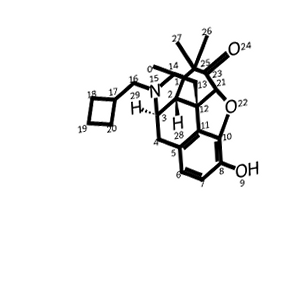 CC1[C@H]2[C@H]3Cc4ccc(O)c5c4[C@@]2(CCN3CC2CCC2)C(O5)C(=O)C1(C)C